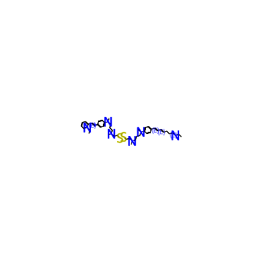 CC/N=C/CC/C=C/C=C/c1ccc(N(C)CCCN(C)CCSSCCN(C)CCCN(C)c2ccc(/C=C/c3cccc[n+]3CC)cc2)cc1